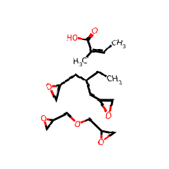 C(OCC1CO1)C1CO1.CC=C(C)C(=O)O.CCC(CC1CO1)CC1CO1